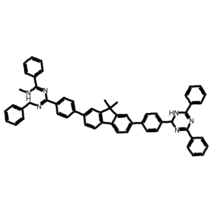 CN/C(=N\C(=N/Cc1ccccc1)c1ccc(-c2ccc3c(c2)C(C)(C)c2cc(-c4ccc(C5N=C(c6ccccc6)N=C(c6ccccc6)N5)cc4)ccc2-3)cc1)c1ccccc1